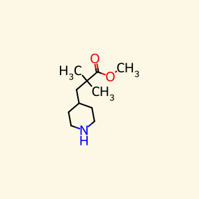 COC(=O)C(C)(C)CC1CCNCC1